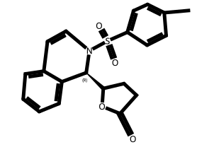 Cc1ccc(S(=O)(=O)N2C=Cc3ccccc3[C@@H]2C2CCC(=O)O2)cc1